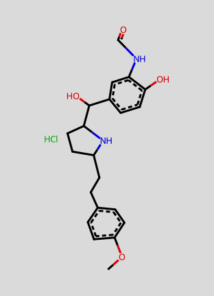 COc1ccc(CCC2CCC(C(O)c3ccc(O)c(NC=O)c3)N2)cc1.Cl